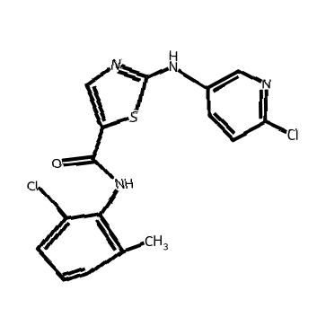 Cc1cccc(Cl)c1NC(=O)c1cnc(Nc2ccc(Cl)nc2)s1